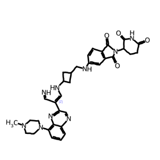 CN1CCN(c2cccc3ncc(/C(C=N)=C/NC4CC(CNc5ccc6c(c5)C(=O)N(C5CCC(=O)NC5=O)C6=O)C4)nc23)CC1